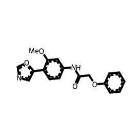 COc1cc(NC(=O)COc2ccccc2)ccc1-c1cnco1